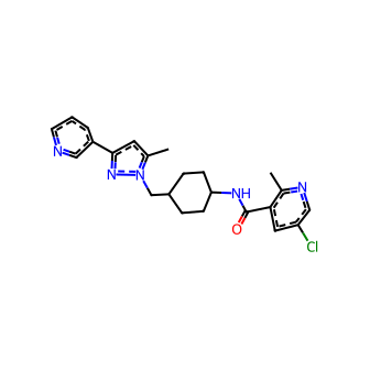 Cc1ncc(Cl)cc1C(=O)NC1CCC(Cn2nc(-c3cccnc3)cc2C)CC1